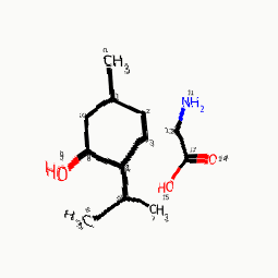 CC1CCC(C(C)C)C(O)C1.NCC(=O)O